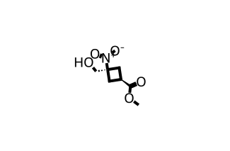 COC(=O)[C@H]1C[C@@](CO)([N+](=O)[O-])C1